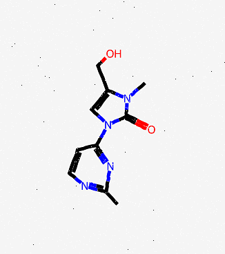 Cc1nccc(-n2cc(CO)n(C)c2=O)n1